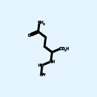 CCCNNC(CCC(N)=O)C(=O)O